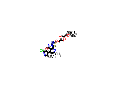 COc1cnc(Cl)cc1-c1cc(C)nc(-c2nnc(OCC3COC(CO[Si](C)(C)C(C)(C)C)CO3)s2)c1C(N)=O